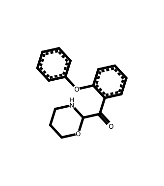 O=C(c1ccccc1Oc1ccccc1)C1NCCCO1